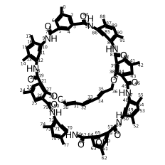 Cc1cc2cc(c1)C(=O)Nc1cc(c(C)cc1C)NC(=O)c1cc(C)cc3c1OC/C=C/C=C/C=C/COc1c(cc(C)cc1C(=O)Nc1cc(c(C)cc1C)NC(=O)c1cc(C)cc(c1O)C(=O)Nc1cc(c(C)cc1C)NC3=O)C(=O)Nc1cc(c(C)cc1C)NC2=O